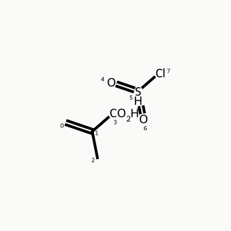 C=C(C)C(=O)O.O=[SH](=O)Cl